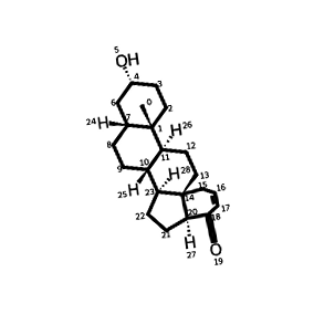 C[C@]12CC[C@@H](O)C[C@H]1CC[C@@H]1[C@@H]2CC[C@@]23CC=CC(=O)[C@H]2CC[C@@H]13